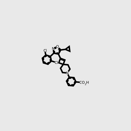 O=C(O)c1cccc(N2CCC3(C=C(c4c(-c5c(Cl)cccc5Cl)noc4C4CC4)C3)CC2)c1